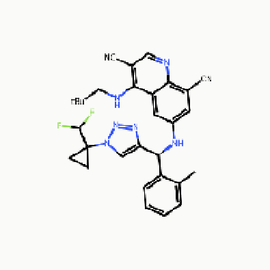 Cc1ccccc1[C@H](Nc1cc(C#N)c2ncc(C#N)c(NCC(C)(C)C)c2c1)c1cn(C2(C(F)F)CC2)nn1